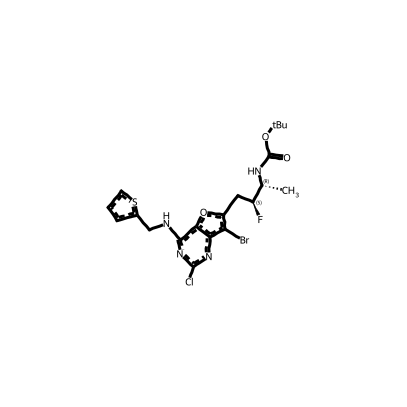 C[C@@H](NC(=O)OC(C)(C)C)[C@@H](F)Cc1oc2c(NCc3cccs3)nc(Cl)nc2c1Br